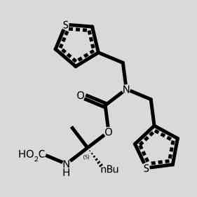 CCCC[C@@](C)(NC(=O)O)OC(=O)N(Cc1ccsc1)Cc1ccsc1